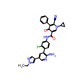 CCn1cc(-c2cnc(N)c(-c3ccc(NC(=O)c4cn(C5CC5)c(C#N)c(-c5ccccc5)c4=O)cc3F)c2)cn1